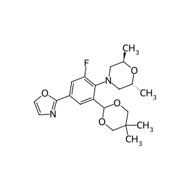 C[C@@H]1CN(c2c(F)cc(-c3ncco3)cc2C2OCC(C)(C)CO2)C[C@@H](C)O1